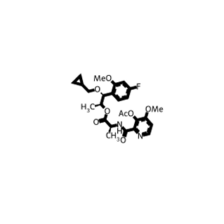 COc1cc(F)ccc1[C@@H](OCC1CC1)[C@H](C)OC(=O)[C@H](C)NC(=O)c1nccc(OC)c1OC(C)=O